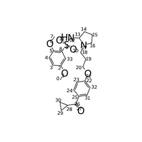 COc1ccc(OC)c(S(=O)(=O)NC2CCCN2CCCOc2ccc(C(=O)C3CC3)cc2)c1